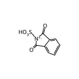 O=C1c2ccccc2C(=O)[N+]1S(=O)(=O)O